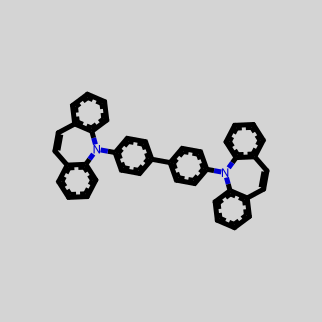 C1=Cc2ccccc2N(c2ccc(-c3ccc(N4c5ccccc5C=Cc5ccccc54)cc3)cc2)c2ccccc21